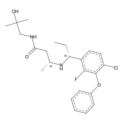 CC[C@@H](N[C@H](C)CC(=O)NCC(C)(C)O)c1ccc(Cl)c(Oc2ccccc2)c1F